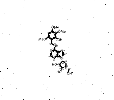 COc1cc(OC)c(OC)c(O)c1CNc1ncnc2c1ncn2[C@@H]1O[C@H](CO)[C@@H](O)[C@@H]1O